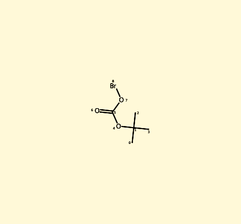 CC(C)(C)OC(=O)OBr